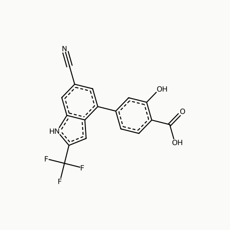 N#Cc1cc(-c2ccc(C(=O)O)c(O)c2)c2cc(C(F)(F)F)[nH]c2c1